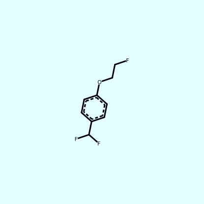 FCCOc1ccc(C(F)F)cc1